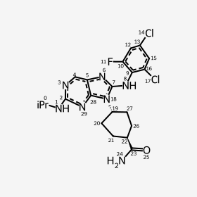 CC(C)Nc1ncc2nc(Nc3c(F)cc(Cl)cc3Cl)n([C@H]3CC[C@H](C(N)=O)CC3)c2n1